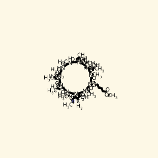 C/C=C/C[C@@H](C)[C@@H](O)[C@H]1C(=O)N[C@@H](CC)C(=O)N(C)[C@@H](CSCCCCC(=O)OC)C(=O)N(C)[C@@H](CC(C)(C)O)C(=O)N[C@H](C(C)C)C(=O)N(C)[C@H](CC(C)C)C(=O)N[C@H](C)C(=O)N[C@@H](C)C(=O)N(C)[C@@H](CC(C)C)C(=O)N(C)[C@@H](CC(C)C)C(=O)N(C)[C@@H](C(C)C)C(=O)N1C